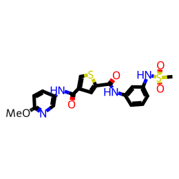 COc1ccc(NC(=O)c2csc(C(=O)Nc3cccc(NS(C)(=O)=O)c3)c2)cn1